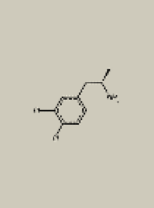 [CH2][C@@H](N)Cc1ccc(Cl)c(Cl)c1